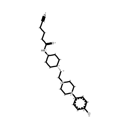 N#CCCCC(=O)N[C@H]1CC[C@H](CCN2CCN(c3ccc(Cl)cc3)CC2)CC1